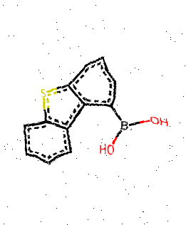 OB(O)c1cccc2sc3ccccc3c12